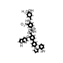 CC(C)c1ccccc1[C@H]1CCCN1c1ccc(-c2ccc(C(=O)NS(=O)(=O)c3ccc(NCC4CCC(C)(O)CC4)c([N+](=O)[O-])c3)c(Oc3cnc4[nH]ccc4c3)c2)cc1